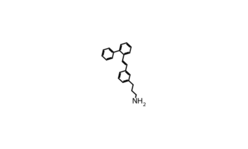 NCCCc1cccc(/C=C/c2ccccc2-c2ccccc2)c1